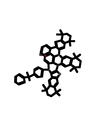 CC(C)(C)c1cc2c3c(c1)N(c1ccc(C(C)(C)c4ccccc4)cc1)c1c(oc4cc5c(cc14)C(C)(C)CCC5(C)C)B3c1cc3c(cc1N2c1cc2c(cc1-c1ccccc1)C(C)(C)CCC2(C)C)C(C)(C)CCC3(C)C